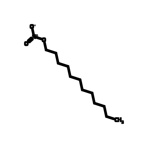 CCCCCCCCCCCCO[N+](=O)[O-]